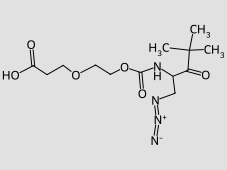 CC(C)(C)C(=O)C(CN=[N+]=[N-])NC(=O)OCCOCCC(=O)O